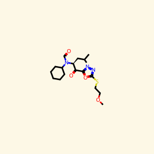 COCCSc1nnc(C(=O)[C@H](CC(C)C)N(C=O)C2CCCCC2)o1